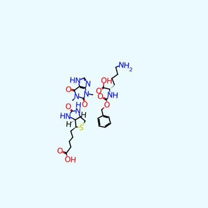 Cn1c(=O)c2[nH]cnc2n(C)c1=O.NCCCC[C@H](NC(=O)OCc1ccccc1)C(=O)O.O=C(O)CCCC[C@@H]1SC[C@@H]2NC(=O)N[C@@H]21